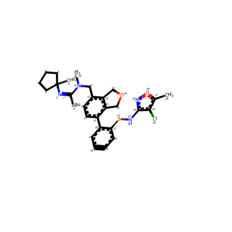 CCCC/C(=N/C1(C=O)CCCC1)N(C)Cc1ccc(-c2cc#ccc2SNc2noc(C)c2Cl)c2c1COC2